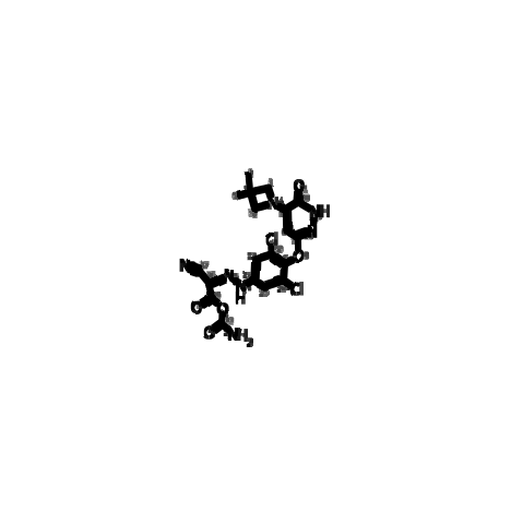 CC1(C)CN(c2cc(Oc3c(Cl)cc(NN=C(C#N)C(=O)OC(N)=O)cc3Cl)n[nH]c2=O)C1